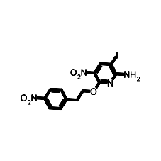 Nc1nc(OCCc2ccc([N+](=O)[O-])cc2)c([N+](=O)[O-])cc1I